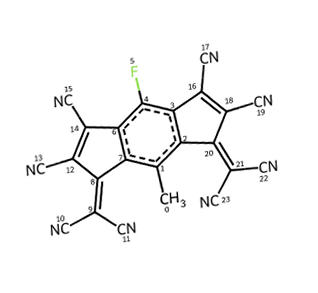 Cc1c2c(c(F)c3c1C(=C(C#N)C#N)C(C#N)=C3C#N)C(C#N)=C(C#N)C2=C(C#N)C#N